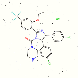 CCOc1cc(C(F)(F)F)ccc1C1=NC(c2ccc(Cl)cc2)C(c2ccc(Cl)cc2)N1C(=O)N1CCNCC1.Cl